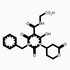 O=C(O)CNC(=O)c1c(O)n(C2CCOC(=O)C2)c(=O)n(Cc2ccccc2)c1=O